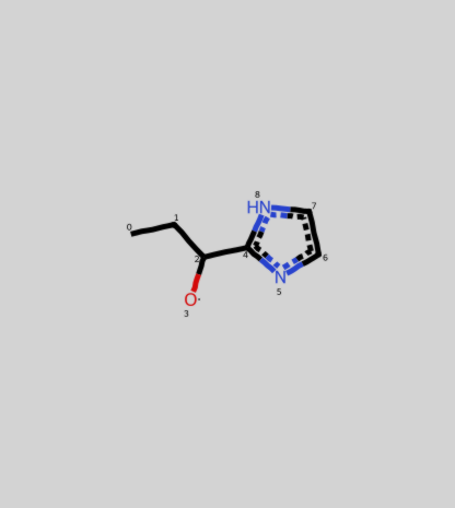 CCC([O])c1ncc[nH]1